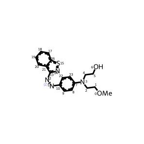 COCCN(CCO)c1ccc(/N=N\c2nsc3ccccc23)cc1